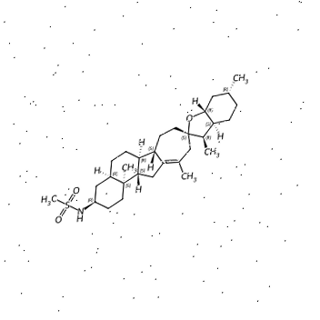 CC1=C2C[C@H]3[C@@H](CC[C@@H]4C[C@H](NS(C)(=O)=O)CC[C@@]43C)[C@@H]2CC[C@@]2(C1)O[C@@H]1C[C@H](C)CC[C@H]1[C@H]2C